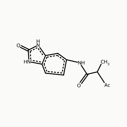 CC(=O)C(C)C(=O)Nc1ccc2[nH]c(=O)[nH]c2c1